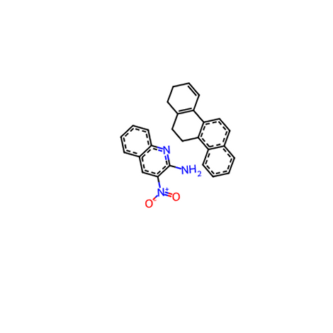 C1=CC2=C(CC1)CCc1c2ccc2ccccc12.Nc1nc2ccccc2cc1[N+](=O)[O-]